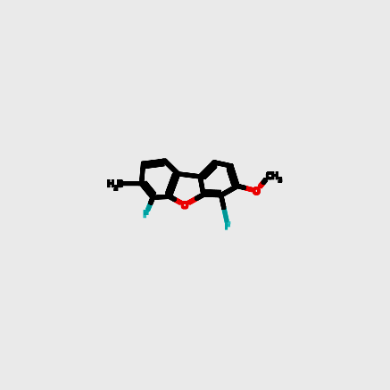 Bc1ccc2c(oc3c(F)c(OC)ccc32)c1F